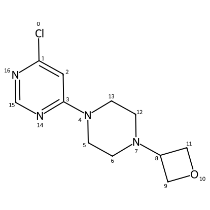 Clc1cc(N2CCN(C3COC3)CC2)ncn1